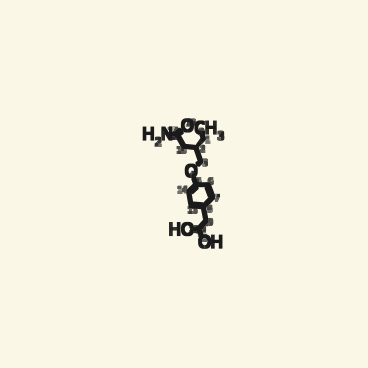 CC[C@@H](COc1ccc([CH]C(O)O)cc1)CC(N)=O